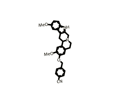 COc1ccc2[nH]c3c(c2c1)CC1c2cc(OC)c(OCc4ccc(C#N)cc4)cc2CCN1C3